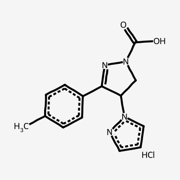 Cc1ccc(C2=NN(C(=O)O)CC2n2cccn2)cc1.Cl